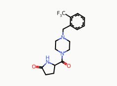 O=C1CCC(C(=O)N2CCN(Cc3ccccc3C(F)(F)F)CC2)N1